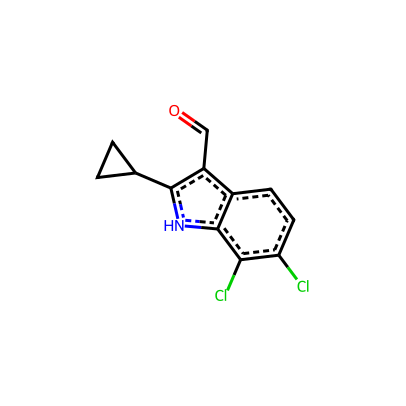 O=Cc1c(C2CC2)[nH]c2c(Cl)c(Cl)ccc12